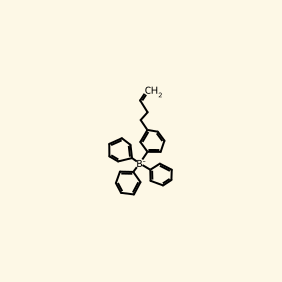 C=CCCc1cccc([B-](c2ccccc2)(c2ccccc2)c2ccccc2)c1